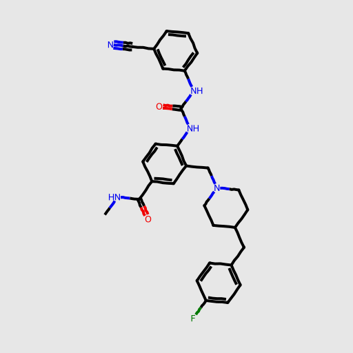 CNC(=O)c1ccc(NC(=O)Nc2cccc(C#N)c2)c(CN2CCC(Cc3ccc(F)cc3)CC2)c1